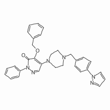 O=c1c(OCc2ccccc2)c(N2CCN(Cc3ccc(-n4cccn4)cc3)CC2)cnn1-c1ccccc1